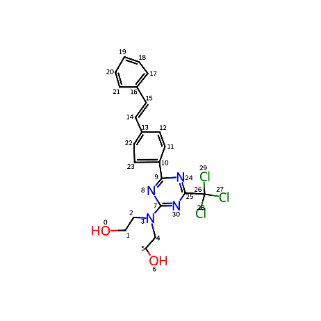 OCCN(CCO)c1nc(-c2ccc(C=Cc3ccccc3)cc2)nc(C(Cl)(Cl)Cl)n1